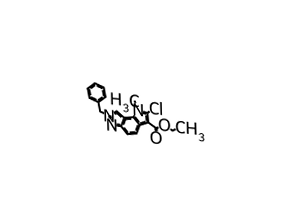 CCOC(=O)c1c(Cl)n(C)c2c1ccc1nn(Cc3ccccc3)cc12